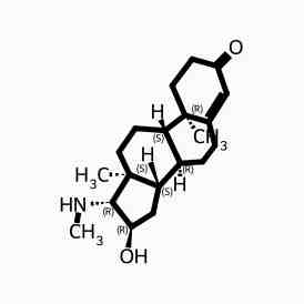 CN[C@H]1[C@H](O)C[C@H]2[C@@H]3CCC4=CC(=O)CC[C@]4(C)[C@H]3CC[C@@]21C